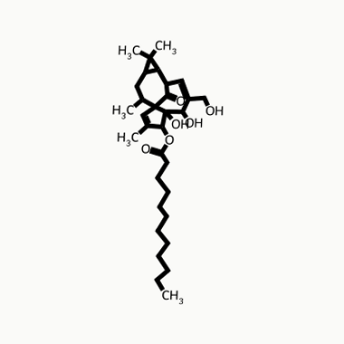 CCCCCCCCCCCC(=O)OC1C(C)=CC23C(=O)C(C=C(CO)C(O)C12O)C1C(CC3C)C1(C)C